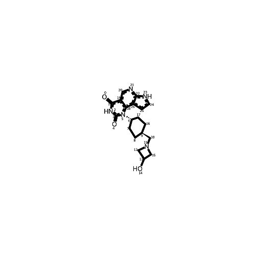 O=c1[nH]c(=O)n([C@H]2CC[C@H](CN3CC(O)C3)CC2)c2c1cnc1[nH]ccc12